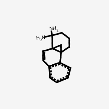 NC1(N)CCCC23CC12C=Cc1ccccc13